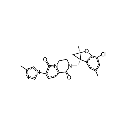 Cc1cc(Cl)c2c(c1)[C@@]1(CN3CCn4c(ccc(-n5cnc(C)c5)c4=O)C3=O)C[C@@]1(C)O2